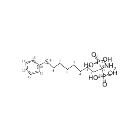 NC(CCCCCCCSc1ccccc1)(P(=O)(O)O)P(=O)(O)O